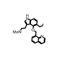 CNCCc1c[nH]c2ccc(CF)c(OCc3cccc4cccnc34)c12